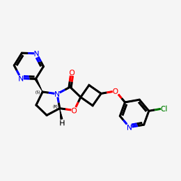 O=C1N2[C@@H](CC[C@H]2c2cnccn2)OC12CC(Oc1cncc(Cl)c1)C2